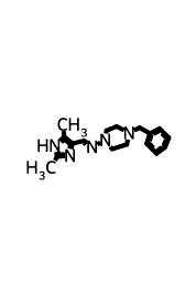 Cc1nc(/C=N/N2CCN(Cc3ccccc3)CC2)c(C)[nH]1